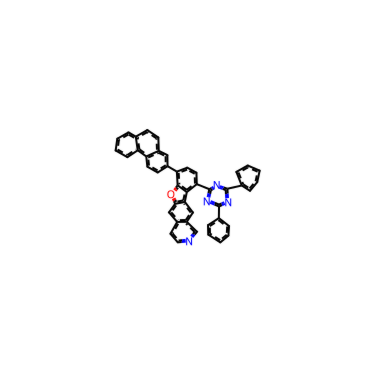 c1ccc(-c2nc(-c3ccccc3)nc(-c3ccc(-c4ccc5c(ccc6ccccc65)c4)c4oc5cc6ccncc6cc5c34)n2)cc1